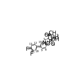 CP(=O)(O)C(C[n+]1cccc(-c2ccc(F)c(F)c2)c1)P(=O)(O)O